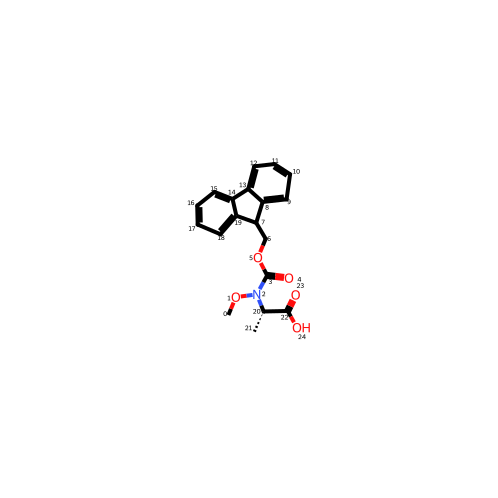 CON(C(=O)OCC1c2ccccc2-c2ccccc21)[C@@H](C)C(=O)O